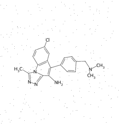 Cc1nnc2c(N)c(-c3ccc(CN(C)C)cc3)c3cc(Cl)ccc3n12